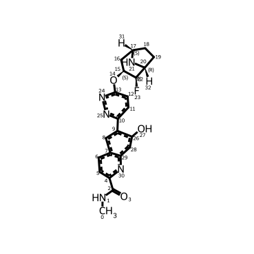 CNC(=O)c1ccc2cc(-c3ccc(O[C@H]4C[C@@H]5CC[C@@H](N5)[C@H]4F)nn3)c(O)cc2n1